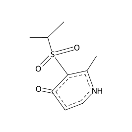 Cc1[nH]ccc(=O)c1S(=O)(=O)C(C)C